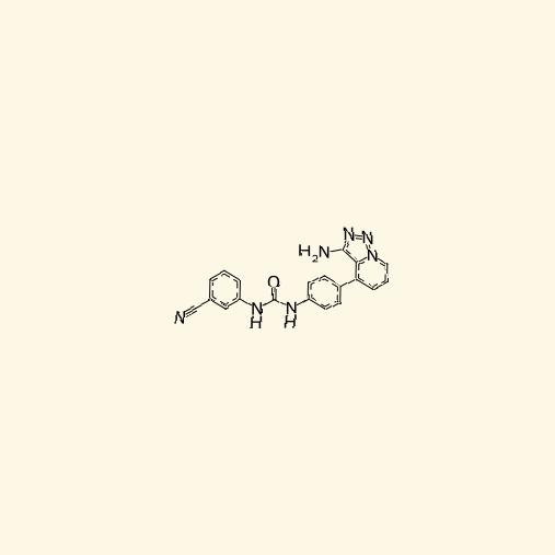 N#Cc1cccc(NC(=O)Nc2ccc(-c3cccn4nnc(N)c34)cc2)c1